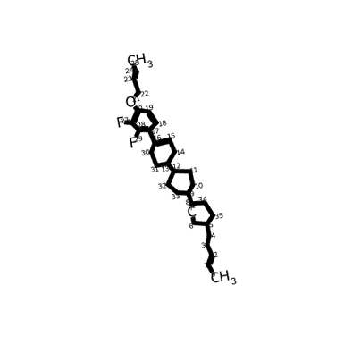 C/C=C/CCC1CCC(C2CCC(C3CC=C(c4ccc(OC/C=C/C)c(F)c4F)CC3)CC2)CC1